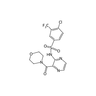 O=C(c1nccnc1NS(=O)(=O)c1ccc(Cl)c(C(F)(F)F)c1)N1CCOCC1